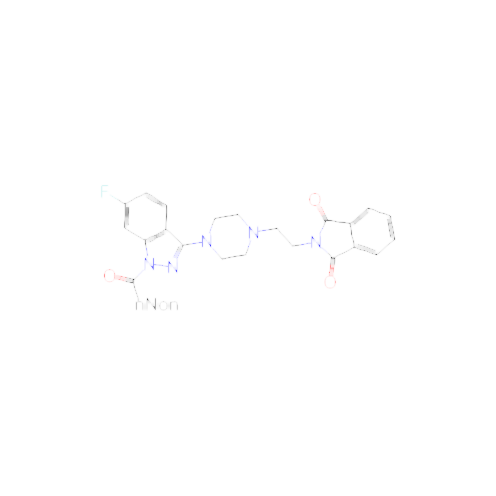 CCCCCCCCCC(=O)n1nc(N2CCN(CCN3C(=O)c4ccccc4C3=O)CC2)c2ccc(F)cc21